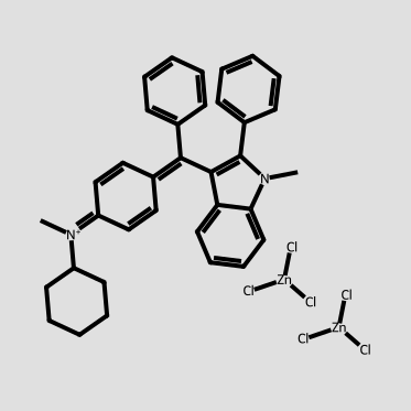 Cn1c(-c2ccccc2)c(C(=C2C=CC(=[N+](C)C3CCCCC3)C=C2)c2ccccc2)c2ccccc21.[Cl][Zn]([Cl])[Cl].[Cl][Zn]([Cl])[Cl]